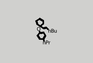 CCCCC=CC1(Oc2ccc(CCC)cc2)C=CC=CC1